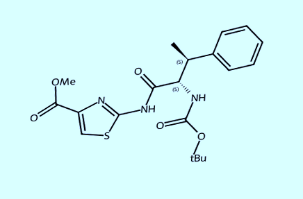 COC(=O)c1csc(NC(=O)[C@@H](NC(=O)OC(C)(C)C)[C@@H](C)c2ccccc2)n1